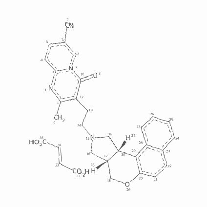 Cc1nc2ccc(C#N)cn2c(=O)c1CCN1C[C@H]2COc3ccc4ccccc4c3[C@H]2C1.O=C(O)/C=C/C(=O)O